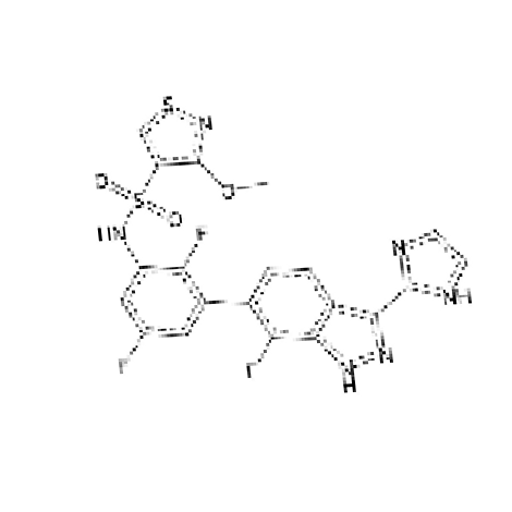 COc1nscc1S(=O)(=O)Nc1cc(F)cc(-c2ccc3c(-c4ncc[nH]4)n[nH]c3c2F)c1F